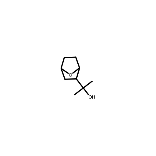 CC(C)(O)C1CC2CCC1O2